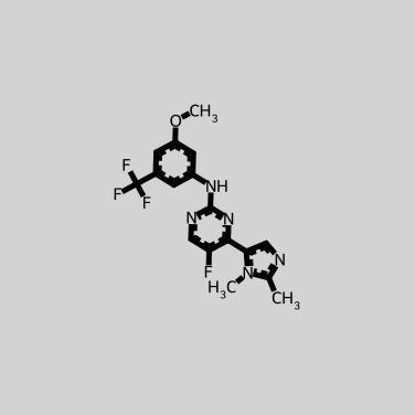 COc1cc(Nc2ncc(F)c(-c3cnc(C)n3C)n2)cc(C(F)(F)F)c1